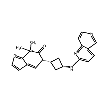 C[N+]1(C)C(=O)C([C@H]2C[C@H](Nc3ccc4cnccc4n3)C2)C=C2C=CN=C21